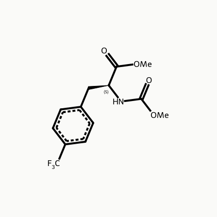 COC(=O)N[C@@H](Cc1ccc(C(F)(F)F)cc1)C(=O)OC